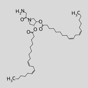 CCCCC/C=C\C/C=C\CCCCCCCC(=O)OC1CN(C(=O)CN)C[C@H]1OC(=O)CCCCCCC/C=C\C/C=C\CCCCC